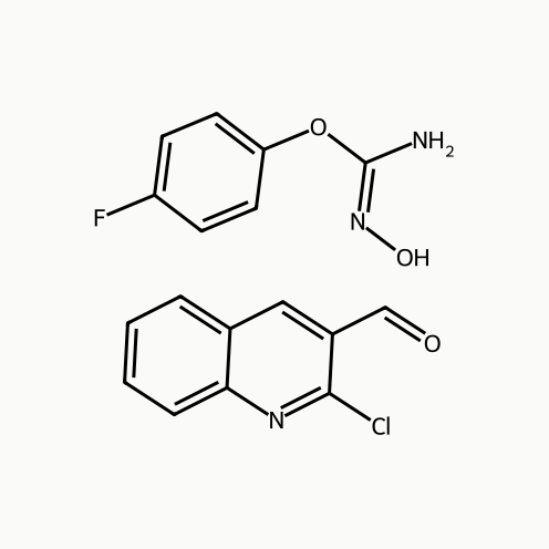 NC(=NO)Oc1ccc(F)cc1.O=Cc1cc2ccccc2nc1Cl